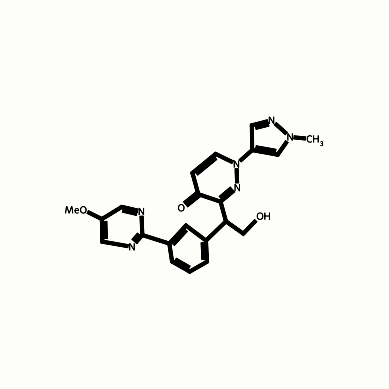 COc1cnc(-c2cccc(C(CO)c3nn(-c4cnn(C)c4)ccc3=O)c2)nc1